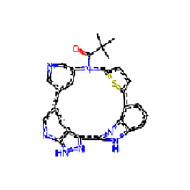 CC(C)(C)C(=O)n1c2cncc(c2)c2cnc3[nH]nc(c4nc5c(cccc5c5ccc1s5)[nH]4)c3c2